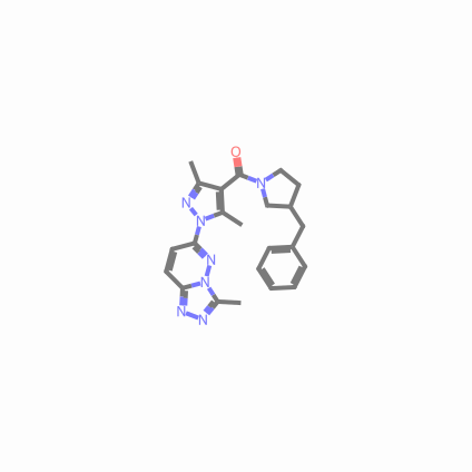 Cc1nn(-c2ccc3nnc(C)n3n2)c(C)c1C(=O)N1CCC(Cc2ccccc2)C1